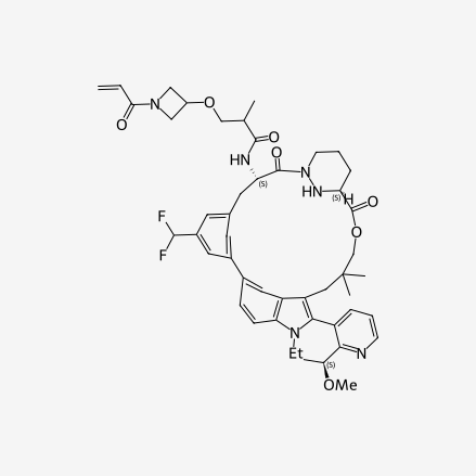 C=CC(=O)N1CC(OCC(C)C(=O)N[C@H]2Cc3cc(cc(C(F)F)c3)-c3ccc4c(c3)c(c(-c3cccnc3[C@H](C)OC)n4CC)CC(C)(C)COC(=O)[C@@H]3CCCN(N3)C2=O)C1